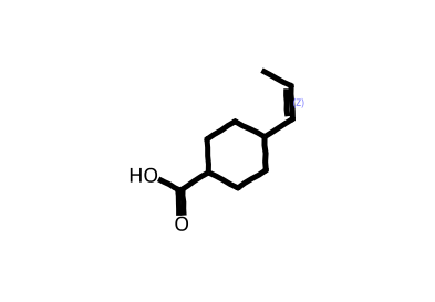 C/C=C\C1CCC(C(=O)O)CC1